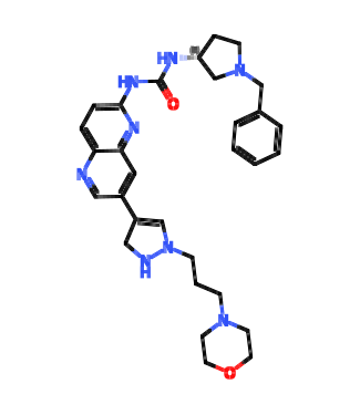 O=C(Nc1ccc2ncc(C3=CN(CCCN4CCOCC4)NC3)cc2n1)N[C@@H]1CCN(Cc2ccccc2)C1